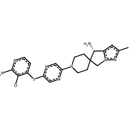 Cc1cc2n(n1)CC1(CCN(c3cnc(Sc4ccnc(N)c4Cl)cn3)CC1)[C@@H]2N